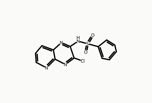 O=S(=O)(Nc1nc2cccnc2nc1Cl)c1ccccc1